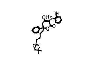 CC(C)c1ccccc1SC1=C(O)CC(CCCCC2=NC(C)(C)CO2)(c2ccccc2)OC1=O